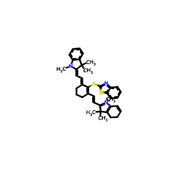 CN1/C(=C/C=C2\CCCC(/C=C/C3=[N+](C)C4=C(CCC=C4)C3(C)C)=C2Sc2nc3ccccc3s2)C(C)(C)c2ccccc21